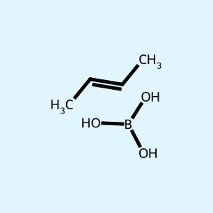 CC=CC.OB(O)O